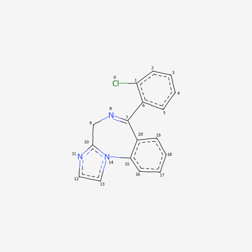 Clc1ccccc1C1=NCc2nccn2-c2ccccc21